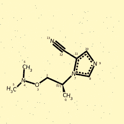 C[C@@H](CON(C)C)n1cncc1C#N